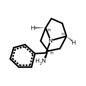 N[C@H]1C[C@H]2CC[C@@H](C1)N2Cc1ccccc1